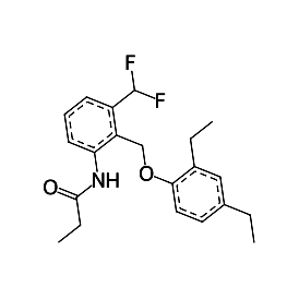 CCC(=O)Nc1cccc(C(F)F)c1COc1ccc(CC)cc1CC